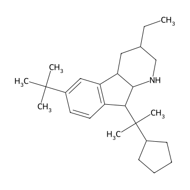 CCC1CNC2C(C1)c1cc(C(C)(C)C)ccc1C2C(C)(C)C1CCCC1